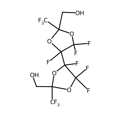 OCC1(C(F)(F)F)OC(F)(F)C(F)(C2(F)OC(CO)(C(F)(F)F)OC2(F)F)O1